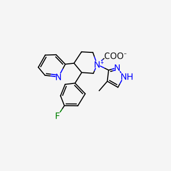 Cc1c[nH]nc1[N+]1(C(=O)[O-])CCC(c2ccccn2)C(c2ccc(F)cc2)C1